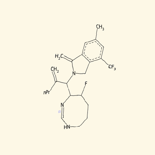 C=C(CCC)C(C1/N=C\NCCCC1F)N1Cc2c(cc(C)cc2C(F)(F)F)C1=C